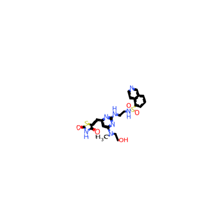 CN(CCO)c1cc(/C=C2/SC(=O)NC2=O)nc(NCCNS(=O)(=O)c2cccc3cnccc23)n1